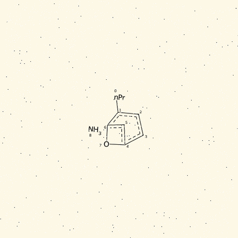 CCCc1ccc2cc1O2.N